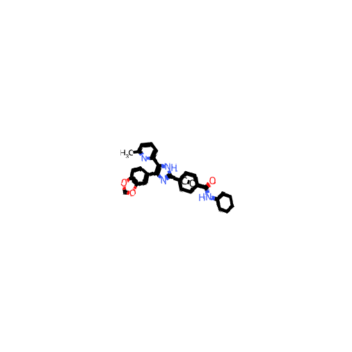 Cc1cccc(-c2[nH]c(C34CCC(C(=O)NC5CCCCC5)(CC3)CC4)nc2-c2ccc3c(c2)OCO3)n1